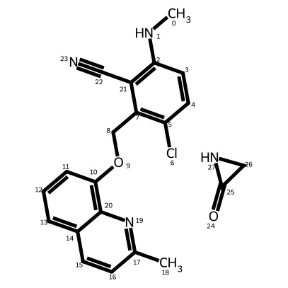 CNc1ccc(Cl)c(COc2cccc3ccc(C)nc23)c1C#N.O=C1CN1